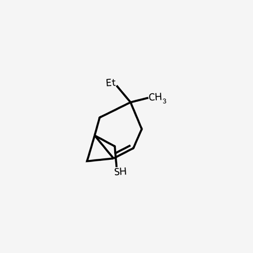 CCC1(C)CC=C2CC2(CS)C1